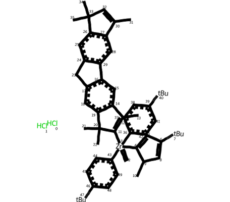 Cl.Cl.[CH2]=[Zr]([C]1=CC(C(C)(C)C)=CC1C)([C]1=C(C)c2cc3c(cc2C1(C)C)Cc1cc2c(cc1-3)C(C)=CC2(C)C)([c]1ccc(C(C)(C)C)cc1)[c]1ccc(C(C)(C)C)cc1